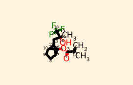 C=C(C)C(=O)OC1C2CCC(C2)C1CC(C)(O)C(F)(F)F